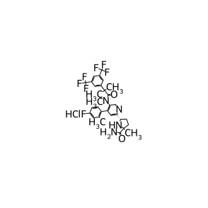 Cc1cc(F)ccc1-c1cc([C@@H]2CC[C@](C)(C(N)=O)N2)ncc1N(C)C(=O)C(C)(C)c1cc(C(F)(F)F)cc(C(F)(F)F)c1.Cl